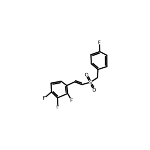 O=S(=O)(C=Cc1ccc(F)c(F)c1F)Cc1ccc(F)cc1